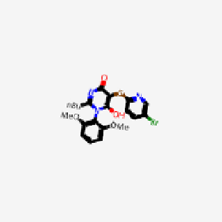 CCCCc1nc(=O)c(Sc2ccc(Br)cn2)c(O)n1-c1c(OC)cccc1OC